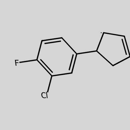 Fc1ccc(C2[CH]C=CC2)cc1Cl